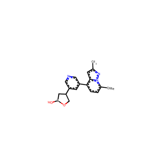 COc1ccc(-c2cncc(C3COB(O)C3)c2)c2cc(C(F)(F)F)nn12